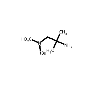 CC(C)(N)CN(C(=O)O)C(C)(C)C